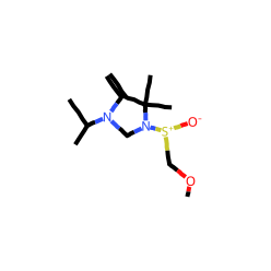 C=C1N(C(C)C)CN([S+]([O-])COC)C1(C)C